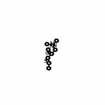 c1ccc(-c2ccc3c(c2)sc2ccc(-c4ccc(-c5cccc(-c6nc(-c7ccccc7)nc(-c7ccccc7)n6)c5)c5c4oc4ccccc45)cc23)cc1